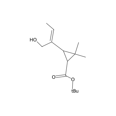 CC=C(CO)C1C(C(=O)OC(C)(C)C)C1(C)C